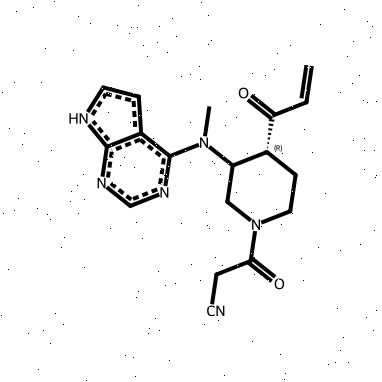 C=CC(=O)[C@@H]1CCN(C(=O)CC#N)CC1N(C)c1ncnc2[nH]ccc12